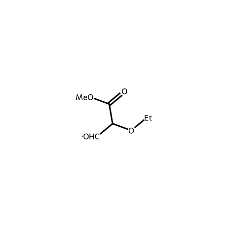 CCOC([C]=O)C(=O)OC